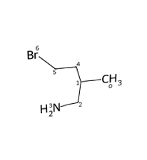 CC(CN)CCBr